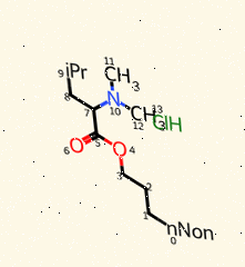 CCCCCCCCCCCCOC(=O)C(CC(C)C)N(C)C.Cl